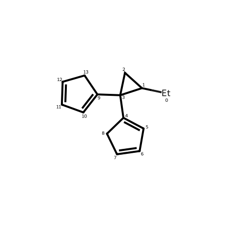 CCC1CC1(C1=CC=CC1)C1=CC=CC1